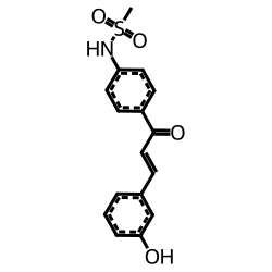 CS(=O)(=O)Nc1ccc(C(=O)/C=C/c2cccc(O)c2)cc1